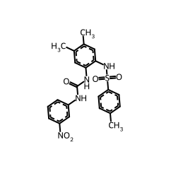 Cc1ccc(S(=O)(=O)Nc2cc(C)c(C)cc2NC(=O)Nc2cccc([N+](=O)[O-])c2)cc1